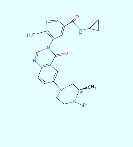 Cc1ccc(C(=O)NC2CC2)cc1-n1cnc2ccc(N3CCN(C(C)C)[C@H](C)C3)cc2c1=O